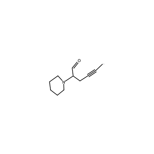 [CH2]C#CCC(C=O)N1CCCCC1